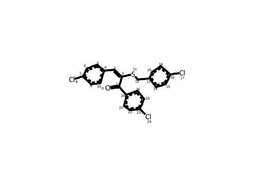 O=C(/C(=C\c1ccc(Cl)cc1)SCc1ccc(Cl)cc1)c1ccc(Cl)cc1